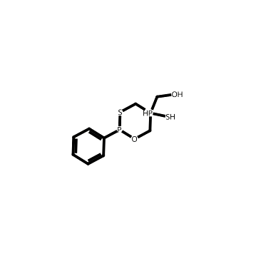 OC[PH]1(S)COP(c2ccccc2)SC1